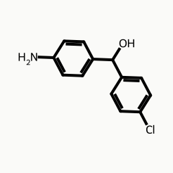 Nc1ccc(C(O)c2ccc(Cl)cc2)cc1